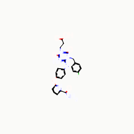 NC(=O)c1cccc(Oc2ccc(/N=c3\[nH]c(=O)n(CCC(=O)O)c(=O)n3Cc3ccc(Cl)cc3)cc2)n1